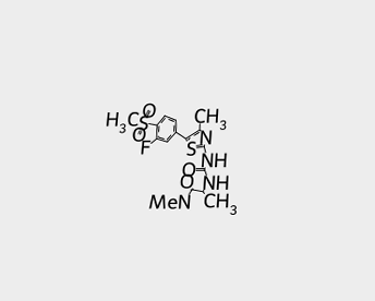 CNC(=O)C(C)NC(=O)Nc1nc(C)c(-c2ccc(S(C)(=O)=O)c(F)c2)s1